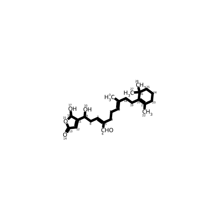 CC(=CCCC(C=O)=CCC(O)C1=CC(=O)OC1O)CCC1=C(C)CCCC1(C)C